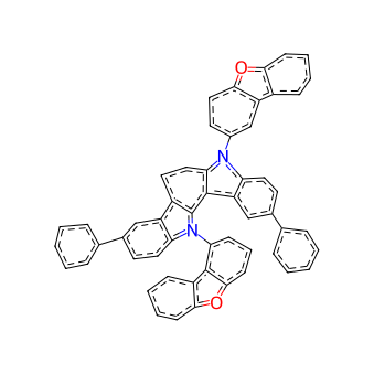 c1ccc(-c2ccc3c(c2)c2c(ccc4c5cc(-c6ccccc6)ccc5n(-c5cccc6oc7ccccc7c56)c42)n3-c2ccc3oc4ccccc4c3c2)cc1